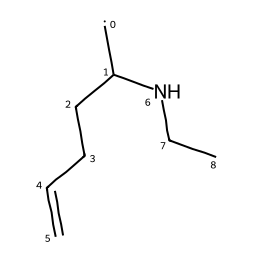 [CH2]C(CCC=C)NCC